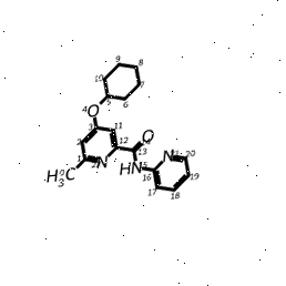 Cc1cc(OC2CCCCC2)cc(C(=O)Nc2ccccn2)n1